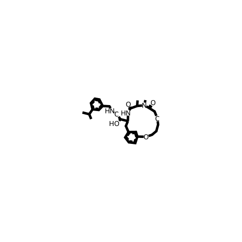 CC(C)c1cccc(CNCC(O)C2Cc3cccc(c3)OCCCCCC(=O)N(C)C(C)C(=O)N2)c1